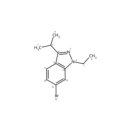 CCn1nc(C(C)C)c2ccc(Br)cc21